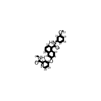 CNC(=O)c1cc(Oc2ccc3c(C(=O)Nc4cccc(OC)c4)cccc3c2)ccn1